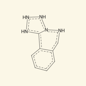 c1ccc2c3[nH][nH][nH]n-3[nH]cc2c1